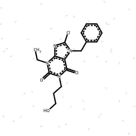 CCn1c(=O)n(CCCO)c(=O)c2c1nc(Cl)n2Cc1ccccc1